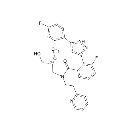 CO[C@@H](CO)CN(CCc1ccccn1)C(=O)c1cccc(F)c1-c1cc(-c2ccc(F)cc2)[nH]n1